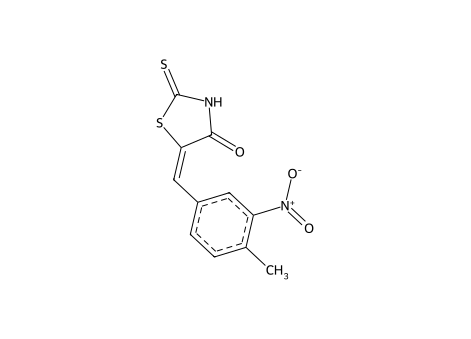 Cc1ccc(C=C2SC(=S)NC2=O)cc1[N+](=O)[O-]